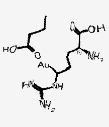 CCCC(=O)O.N=C(N)N[CH]([Au])CC[C@H](N)C(=O)O